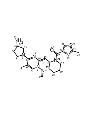 C=NN1C=C(C)C(N2CC[C@H](N)C2)=N/C1=C/C1CCCCN1C(=O)c1csc(C)n1